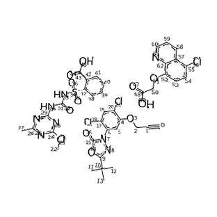 C#CCOc1cc(-n2nc(C(C)(C)C)oc2=O)c(Cl)cc1Cl.COc1nc(C)nc(NC(=O)NS(=O)(=O)c2ccccc2C(=O)O)n1.O=C(O)COc1ccc(Cl)c2cccnc12